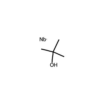 CC(C)(C)O.[Nb]